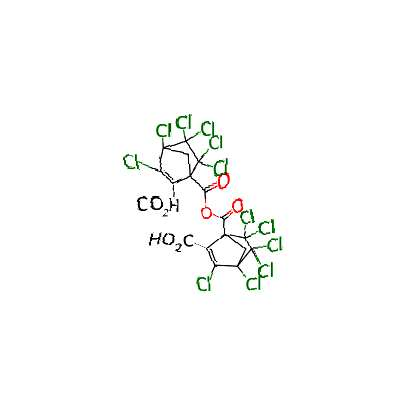 O=C(O)C1=C(Cl)C2(Cl)CC1(C(=O)OC(=O)C13CC(Cl)(C(Cl)=C1C(=O)O)C(Cl)(Cl)C3(Cl)Cl)C(Cl)(Cl)C2(Cl)Cl